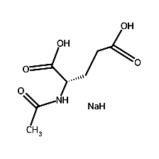 CC(=O)N[C@@H](CCC(=O)O)C(=O)O.[NaH]